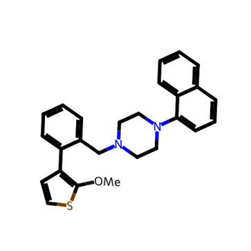 COc1sccc1-c1ccccc1CN1CCN(c2cccc3ccccc23)CC1